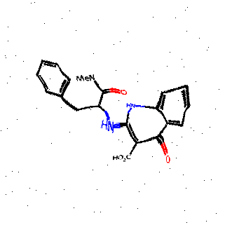 CNC(=O)C(Cc1ccccc1)Nc1[nH]c2ccccc2c(=O)c1C(=O)O